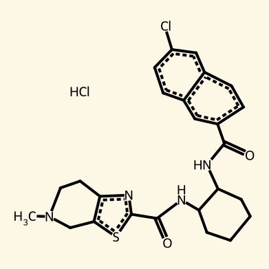 CN1CCc2nc(C(=O)NC3CCCCC3NC(=O)c3ccc4cc(Cl)ccc4c3)sc2C1.Cl